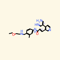 CCOCCNCc1ccc(NC(=O)/C=C/c2cnccc2/C(C=N)=C/N)cc1C